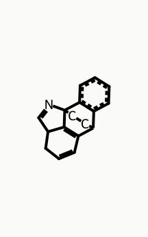 C1=CC2=C3C(C=NC34CCC2c2ccccc24)C1